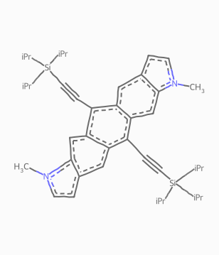 CC(C)[Si](C#Cc1c2cc3ccn(C)c3cc2c(C#C[Si](C(C)C)(C(C)C)C(C)C)c2cc3ccn(C)c3cc12)(C(C)C)C(C)C